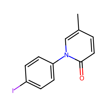 Cc1ccc(=O)n(-c2ccc(I)cc2)c1